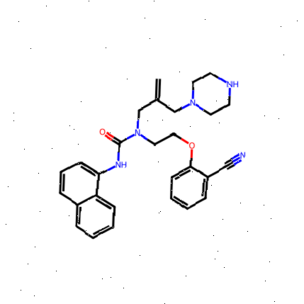 C=C(CN1CCNCC1)CN(CCOc1ccccc1C#N)C(=O)Nc1cccc2ccccc12